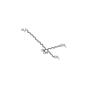 CCCCCCCCCCCCCCCCC(C(=O)O)C(CCCCCC)CCCCCCCCC